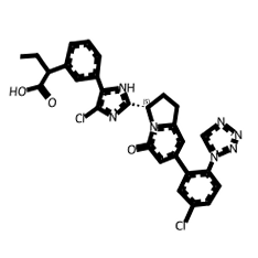 CCC(C(=O)O)c1cccc(-c2[nH]c([C@@H]3CCc4cc(-c5cc(Cl)ccc5-n5cnnn5)cc(=O)n43)nc2Cl)c1